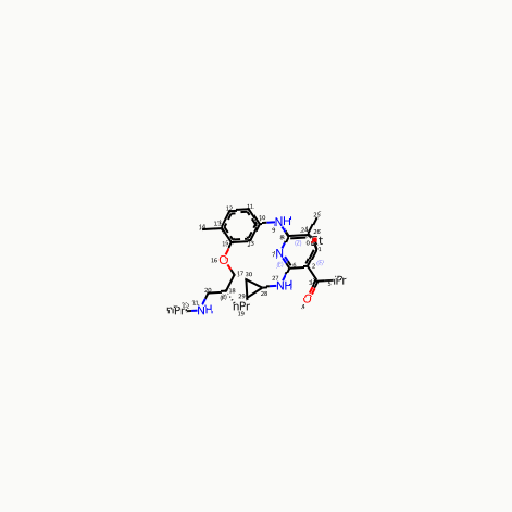 C\C=C(C(=O)C(C)C)/C(=N\C(Nc1ccc(C)c(OC[C@H](CCC)CNCCC)c1)=C(\C)CC)NC1CC1